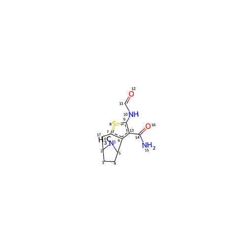 CN1C2CCC1c1c(sc(NC=O)c1C(N)=O)C2